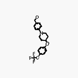 O=Cc1ccc(N2CCC(Oc3ccc(OC(F)(F)F)cc3)CC2)cc1